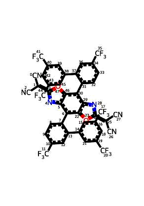 N#CC(C#N)=c1nc2c(-c3ccc(C(F)(F)F)cc3-c3cc(C(F)(F)F)cc(C(F)(F)F)c3)c3oc(=C(C#N)C#N)nc3c(-c3ccc(C(F)(F)F)cc3-c3cc(C(F)(F)F)cc(C(F)(F)F)c3)c2o1